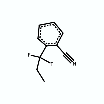 CCC(F)(F)c1ccccc1C#N